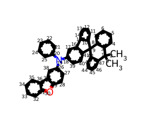 CC1(C)c2ccccc2C2(c3ccccc3-c3cc(N(c4ccccc4)c4ccc5oc6ccccc6c5c4)ccc32)c2ccccc21